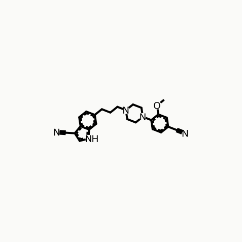 COc1cc(C#N)ccc1N1CCN(CCCc2ccc3c(C#N)c[nH]c3c2)CC1